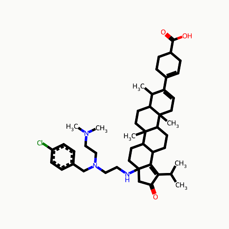 CC(C)C1=C2C3CCC4C5(C)CC=C(C6=CCC(C(=O)O)CC6)C(C)C5CCC4(C)C3CCC2(NCCN(CCN(C)C)Cc2ccc(Cl)cc2)CC1=O